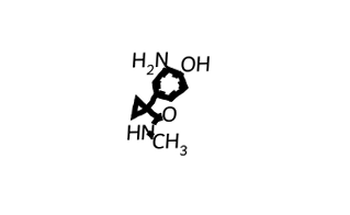 CNC(=O)C1(c2ccc(O)c(N)c2)CC1